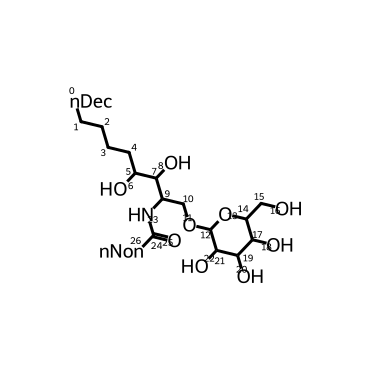 CCCCCCCCCCCCCCC(O)C(O)C(COC1OC(CO)C(O)C(O)C1O)NC(=O)CCCCCCCCC